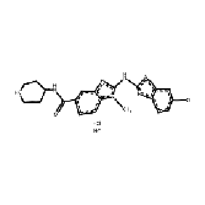 Cl.Cl.Cn1c(Nc2nc3ccc(Cl)cc3s2)nc2cc(C(=O)NC3CCNCC3)ccc21